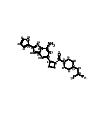 Nc1nc(N2CC[C@H]2C(=O)N2CCN(CC(F)F)CC2)nc2nc(-c3ccco3)nn12